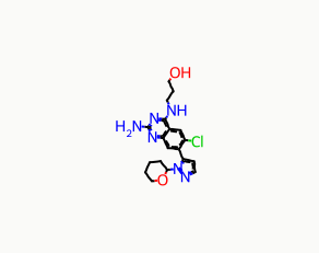 Nc1nc(NCCCO)c2cc(Cl)c(-c3ccnn3C3CCCCO3)cc2n1